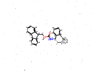 O=C(O)C[C@H](NC(=O)OCC1c2ccccc2-c2ccccc21)c1ccccc1[N+](=O)[O-]